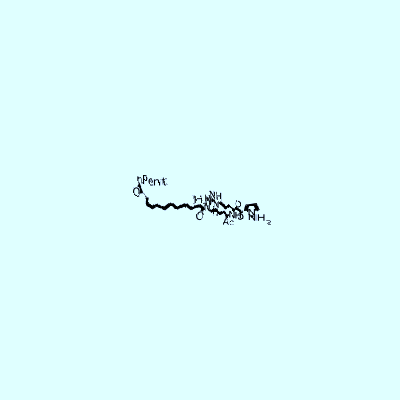 CCCCC[C@H]1O[C@H]1C/C=C\CCCCCCCC(=O)NCCCCC(N[C@@H](CCCNC(=N)N)C(=O)C(=O)[C@@H]1CCCN1N)C(C)=O